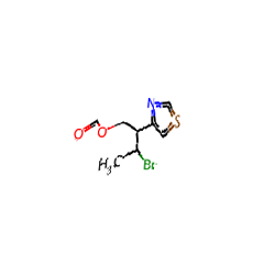 CC(Br)C(COC=O)c1cscn1